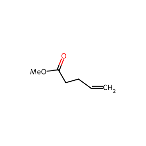 [CH2]OC(=O)CCC=C